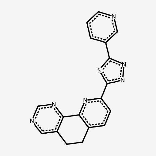 c1cncc(-c2nnc(-c3ccc4c(n3)-c3ncncc3CC4)s2)c1